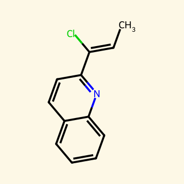 CC=C(Cl)c1ccc2ccccc2n1